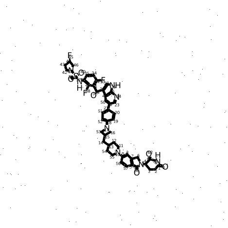 O=C1CCC(N2Cc3cc(N4CCC(CC5CN(c6ccc(-c7cnc8[nH]cc(C(=O)c9c(F)ccc(NS(=O)(=O)N%10CC[C@@H](F)C%10)c9F)c8c7)cc6)C5)CC4)ccc3C2=O)C(=O)N1